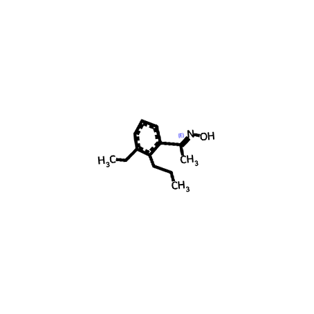 CCCc1c(CC)cccc1/C(C)=N/O